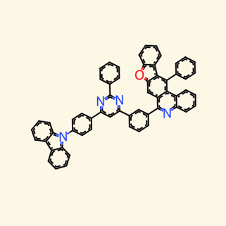 c1ccc(-c2nc(-c3ccc(-n4c5ccccc5c5ccccc54)cc3)cc(-c3cccc(-c4nc5ccccc5c5c(-c6ccccc6)c6c(cc45)oc4ccccc46)c3)n2)cc1